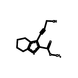 COC(=O)c1sc2c(c1C#CCO)CCCC2